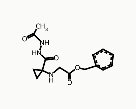 CC(=O)NNC(=O)C1(NCC(=O)OCc2ccccc2)CC1